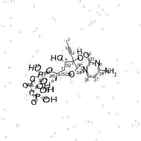 CC#CC1(O)[C@@H](O)[C@@H]([C@@H](C)OP(=O)(O)OP(=O)(O)OP(=O)(O)O)O[C@H]1n1ccc(N)nc1=O